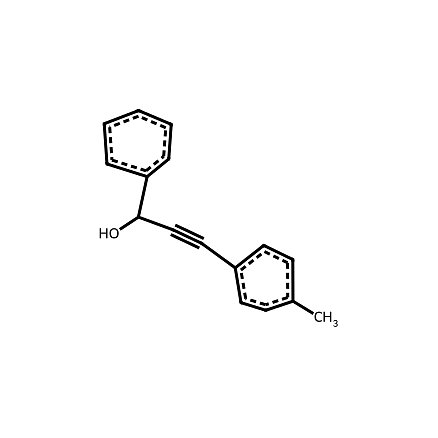 Cc1ccc(C#CC(O)c2ccccc2)cc1